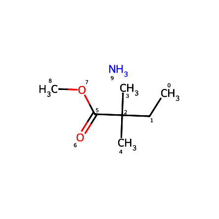 CCC(C)(C)C(=O)OC.N